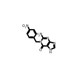 Nc1nc2nc[nH]c2c(=O)n1Cc1ccc([N+](=O)[O-])cc1